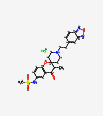 CC1C(=O)c2cc(NS(C)(=O)=O)ccc2OC12CCN(CCc1ccc3nonc3c1)CC2.Cl